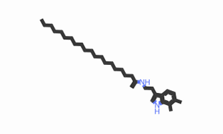 C=C(CCCCCCCCCCCCCCCCCCC)NCCc1c[nH]c2c(C)c(C)ccc12